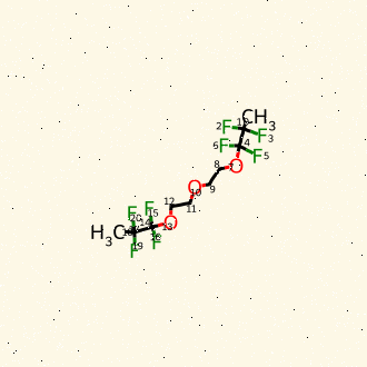 CC(F)(F)C(F)(F)OCCOCCOC(F)(F)C(C)(F)F